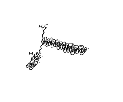 CCCCCCCCCCCC[NH3+].[O]=[Mo](=[O])([O-])[O-].[O]=[Mo](=[O])([O-])[O-].[O]=[Mo](=[O])([O-])[O-].[O]=[Mo](=[O])([O-])[O-].[O]=[Mo](=[O])([O-])[O-].[O]=[Mo](=[O])([O-])[O-].[O]=[Mo](=[O])([O-])[O-].[O]=[Mo](=[O])([O-])[O-]